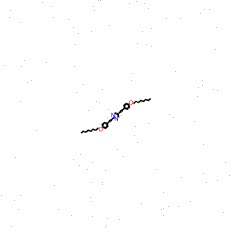 CCCCCCCCOc1ccc(C#Cc2cnc(C#Cc3ccc(OCCCCCCCC)cc3)nc2)cc1